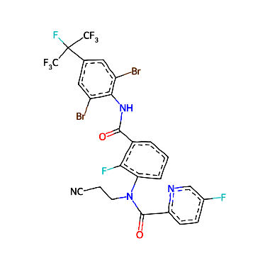 N#CCCN(C(=O)c1ccc(F)cn1)c1cccc(C(=O)Nc2c(Br)cc(C(F)(C(F)(F)F)C(F)(F)F)cc2Br)c1F